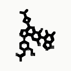 CC(F)=CN1CC[C@H](n2ncc3c(N4CC(N(C)C)C4)nc4c(F)c(-c5c(C)c(C)cc6[nH]ncc56)c(Cl)cc4c32)C[C@H]1CC#N